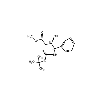 COC(=O)C[C@@H](O)[C@@H](NC(=O)OC(C)(C)C)c1ccccc1